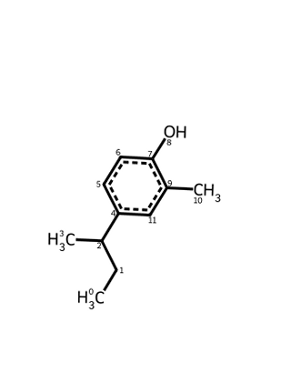 CCC(C)c1ccc(O)c(C)c1